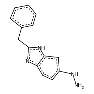 NNc1ccc2nc(Cc3ccccc3)[nH]c2c1